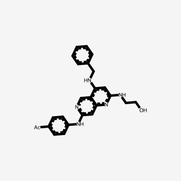 CC(=O)c1ccc(Nc2cc3nc(NCCO)cc(NCc4ccccc4)c3cn2)cc1